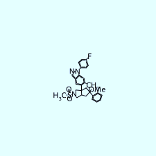 COC1(c2ccccc2)CC2CN(S(C)(=O)=O)CC2(c2cc3cnn(-c4ccc(F)cc4)c3cc2C)C1